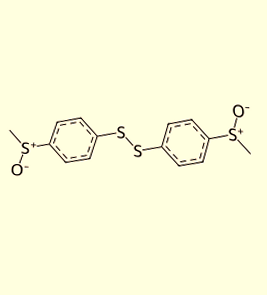 C[S+]([O-])c1ccc(SSc2ccc([S+](C)[O-])cc2)cc1